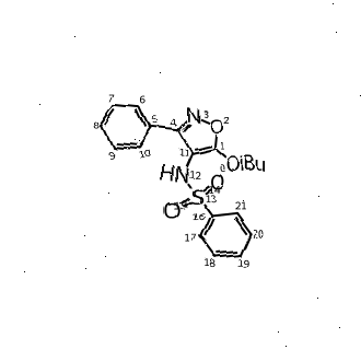 CC(C)COc1onc(-c2ccccc2)c1NS(=O)(=O)c1ccccc1